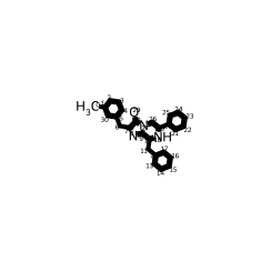 Cc1cccc(Cc2nc3c(Cc4ccccc4)[nH]c(-c4ccccc4)cn-3c2=O)c1